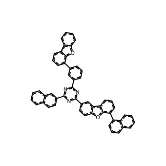 c1cc(-c2nc(-c3ccc4ccccc4c3)nc(-c3ccc4oc5c(-c6cccc7ccccc67)cccc5c4c3)n2)cc(-c2cccc3c2oc2ccccc23)c1